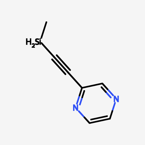 C[SiH2]C#Cc1cnccn1